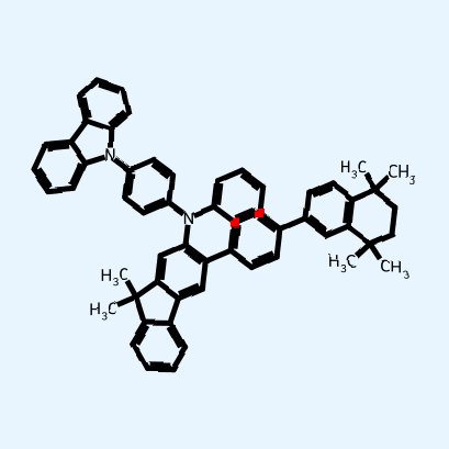 CC1(C)CCC(C)(C)c2cc(-c3ccc(-c4cc5c(cc4N(c4ccccc4)c4ccc(-n6c7ccccc7c7ccccc76)cc4)C(C)(C)c4ccccc4-5)cc3)ccc21